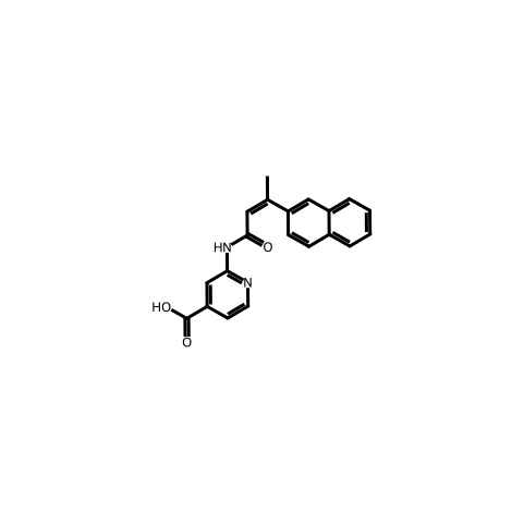 C/C(=C/C(=O)Nc1cc(C(=O)O)ccn1)c1ccc2ccccc2c1